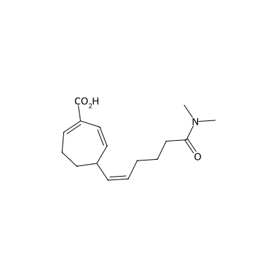 CN(C)C(=O)CCC/C=C\C1C=CC(C(=O)O)=CCC1